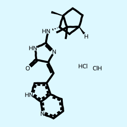 CC1(C)[C@@H]2CC[C@@]1(C)[C@@H](NC1=NC(=Cc3c[nH]c4ncccc34)C(=O)N1)C2.Cl.Cl